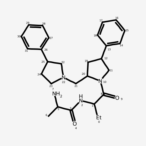 CCC(NC(=O)C(C)N)C(=O)N1CC(c2ccccc2)CC1CN1CCC(c2ccccc2)C1